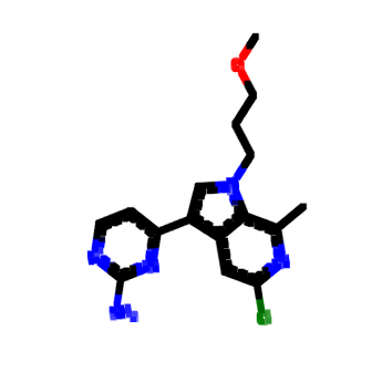 COCCCn1cc(-c2ccnc(N)n2)c2cc(Cl)nc(C)c21